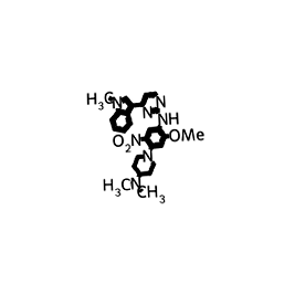 COc1cc(N2CCC(N(C)C)CC2)c([N+](=O)[O-])cc1Nc1nccc(-c2cn(C)c3ccccc23)n1